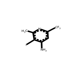 Cc1nc(C(F)(F)F)cc(N)c1I